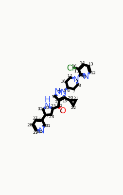 O=C(c1cnn(C2CCN(c3ncccc3Cl)CC2)c1C1CC1)C1CC(c2cccnc2)CN1